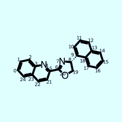 c1ccc2nc(C3=N[C@H](c4cccc5ccccc45)CO3)ccc2c1